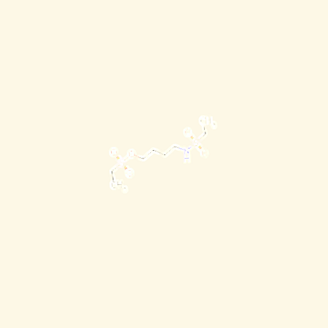 CCS(=O)(=O)NCCCCOS(=O)(=O)CC